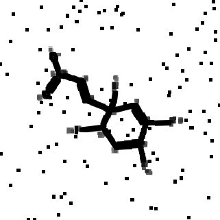 O=[N+]([O-])C=CC1(F)C=C(F)C(F)=CC1F